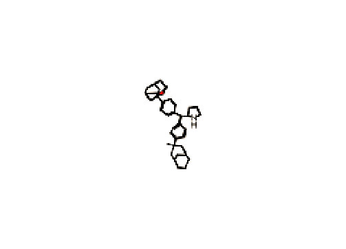 CC1(c2ccc([C@@H](c3ccc(C45CC6CC(CC(C6)C4)C5)cc3)C3CCCN3)cc2)CC2CCCC(C2)C1